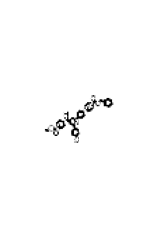 CCOC(=O)N1CCC(Nc2cc(-c3ccc(OC)cc3)nc(-c3ccc(N4CCN(C(=O)OCc5ccccc5)CC4)cc3)c2)CC1